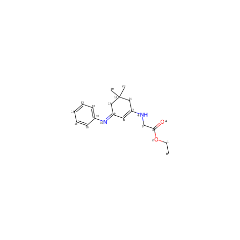 CCOC(=O)CNC1=CC(=Nc2ccccc2)CC(C)(C)C1